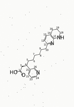 O=C(O)C[C@@H](CCCCCCc1ccc2c(n1)NCCC2)c1cccnc1